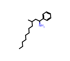 CCCCCCCCC(C)CC(N)c1ccccc1